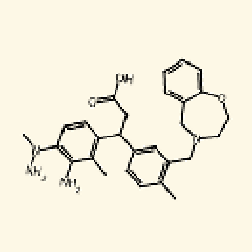 Cc1ccc(C(CC(=O)O)c2ccc(N(C)N)c(N)c2C)cc1CN1CCOc2ccccc2C1